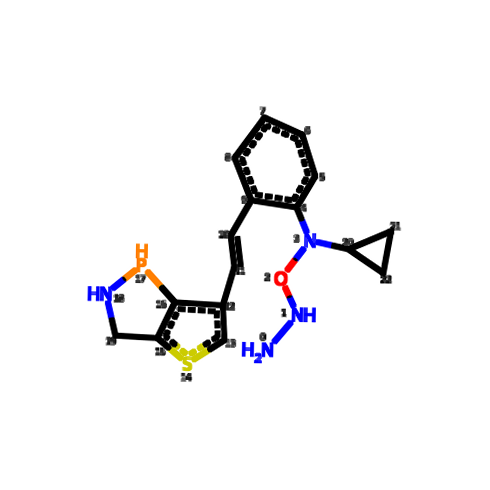 NNON(c1ccccc1/C=C/c1csc2c1PNC2)C1CC1